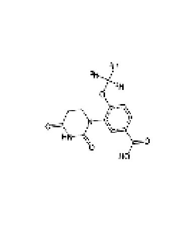 [2H]C([2H])([2H])Oc1ccc(C(=O)O)cc1N1CCC(=O)NC1=O